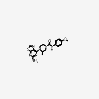 COc1ccc(NC(=O)N2CCN(c3nc(N)nc4scnc34)C(C)C2)cc1